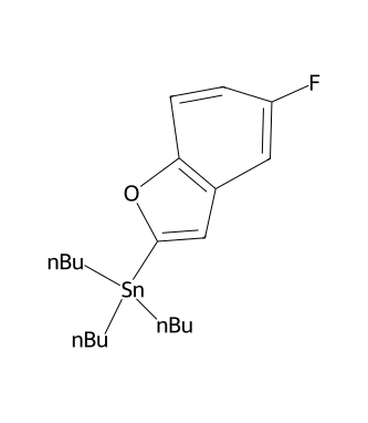 CCC[CH2][Sn]([CH2]CCC)([CH2]CCC)[c]1cc2cc(F)ccc2o1